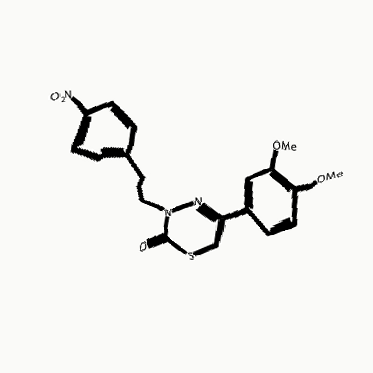 COc1ccc(C2=NN(CCc3ccc([N+](=O)[O-])cc3)C(=O)SC2)cc1OC